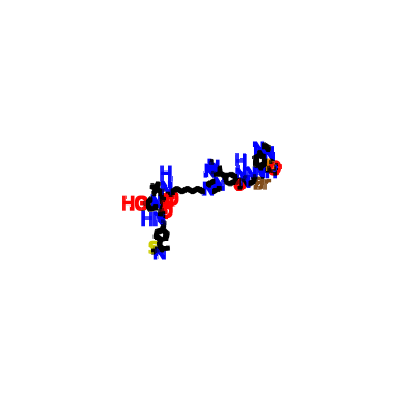 COc1cc(N2CCN(CCCCCCC(=O)N[C@H](C(=O)N3C[C@H](O)C[C@H]3C(=O)NCc3ccc(-c4scnc4C)cc3)C(C)(C)C)CC2)c(-c2cnn(C)c2)cc1Nc1ncc(Br)c(Nc2ccc3nccnc3c2P(C)(C)=O)n1